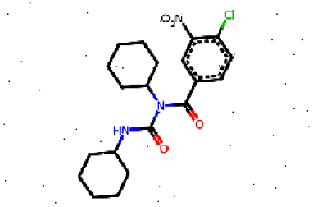 O=C(NC1CCCCC1)N(C(=O)c1ccc(Cl)c([N+](=O)[O-])c1)C1CCCCC1